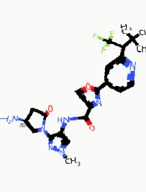 Cn1cc(NC(=O)c2coc(-c3ccnc(C(C(C)(C)C)C(F)(F)F)c3)n2)c(N2C[C@@H](N)CC2=O)n1